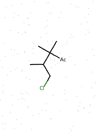 CC(=O)C(C)(C)C(C)CCl